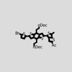 CCCCCCCCCCCCc1c2cc(-c3sc(C)c4sc(C(C)=O)cc34)sc2c(CCCCCCCCCCCC)c2cc(-c3ccc(Br)s3)sc12